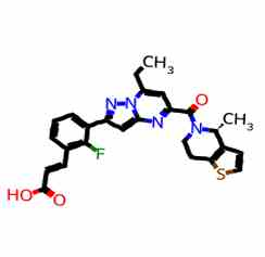 CCc1cc(C(=O)N2CCc3sccc3[C@H]2C)nc2cc(-c3cccc(/C=C/C(=O)O)c3F)nn12